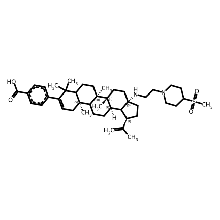 C=C(C)[C@@H]1CC[C@]2(NCCN3CCC(S(C)(=O)=O)CC3)CC[C@]3(C)[C@H](CCC4[C@@]5(C)CC=C(c6ccc(C(=O)O)cc6)C(C)(C)C5CC[C@]43C)C12